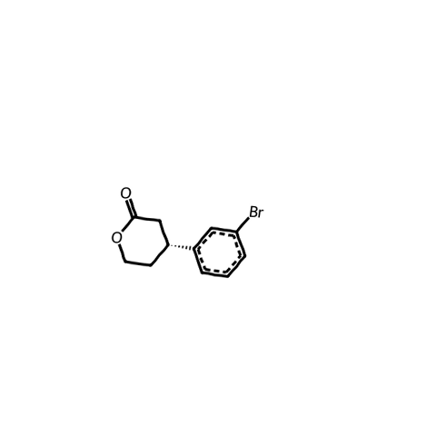 O=C1C[C@H](c2cccc(Br)c2)CCO1